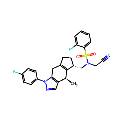 C[C@@H]1C2=C(CC[C@@H]2CN(CC#N)S(=O)(=O)c2ccccc2F)Cc2c1cnn2-c1ccc(F)cc1